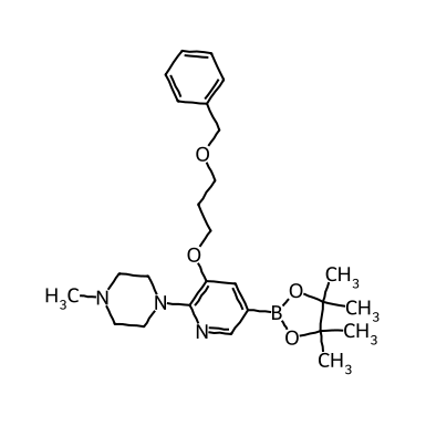 CN1CCN(c2ncc(B3OC(C)(C)C(C)(C)O3)cc2OCCCOCc2ccccc2)CC1